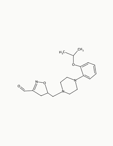 CC(C)Oc1ccccc1N1CCN(CC2CC(C=O)=NO2)CC1